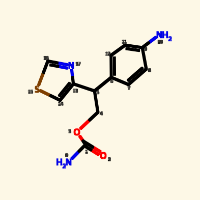 NC(=O)OCC(c1ccc(N)cc1)c1cscn1